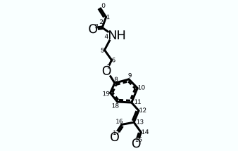 C=CC(=O)NCCOc1ccc(C=C(C=O)C=O)cc1